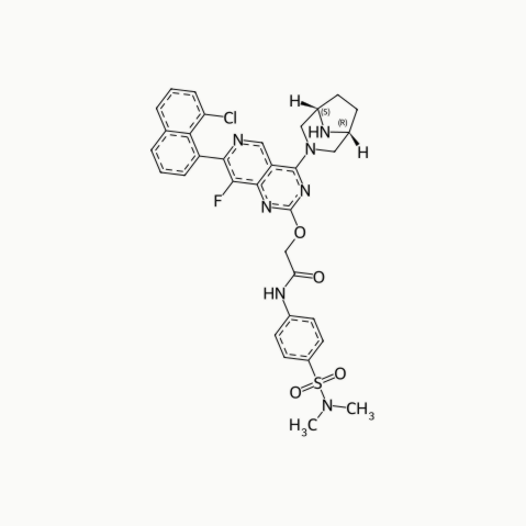 CN(C)S(=O)(=O)c1ccc(NC(=O)COc2nc(N3C[C@H]4CC[C@@H](C3)N4)c3cnc(-c4cccc5cccc(Cl)c45)c(F)c3n2)cc1